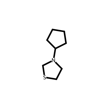 C1CCC(N2CCSC2)C1